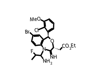 CCOC(=O)C[C@H]1O[C@H](c2cccc(OC)c2Cl)c2cc(Br)ccc2N(C(N)C(C)F)C1=N